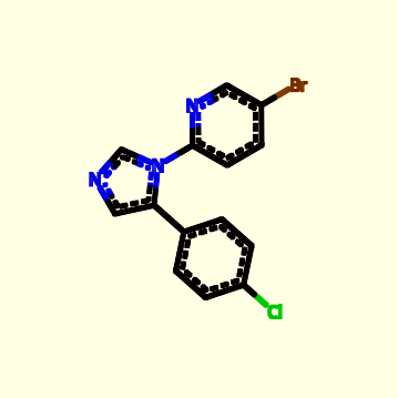 Clc1ccc(-c2cncn2-c2ccc(Br)cn2)cc1